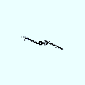 CCCCCOCCCCOc1cnc(-c2ccc(CCCCCC/C=C/C(=O)O)cc2)nc1